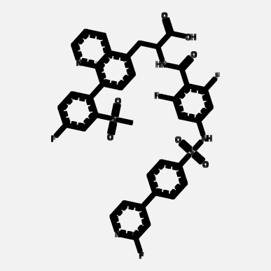 CS(=O)(=O)c1cc(F)ccc1-c1ccc(CC(NC(=O)c2c(F)cc(NS(=O)(=O)c3ccc(-c4ccnc(F)c4)cc3)cc2F)C(=O)O)c2cccnc12